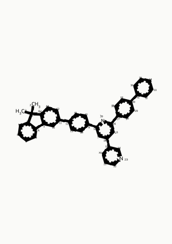 CC1(C)c2ccccc2-c2cc(-c3ccc(-c4cc(-c5cccnc5)cc(-c5ccc(-c6ccccc6)cc5)n4)cc3)ccc21